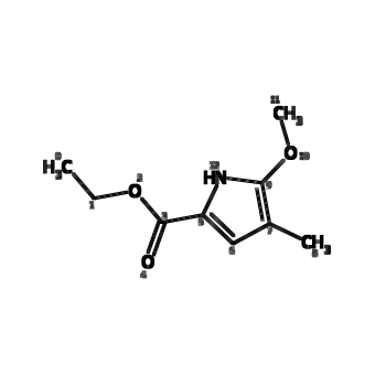 CCOC(=O)c1cc(C)c(OC)[nH]1